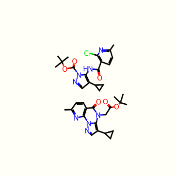 Cc1ccc(C(=O)Nc2c(C3CC3)cnn2C(=O)OC(C)(C)C)c(Cl)n1.Cc1ccc2c(=O)n(CC(=O)OC(C)(C)C)c3c(C4CC4)cnn3c2n1